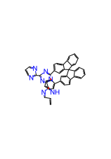 C=C/C=N\C(=N)c1nc(-c2ccc3c(c2)C2(c4ccccc4-c4ccc(-c5ccccc5)cc42)c2ccccc2-3)nc(-c2ncccn2)n1